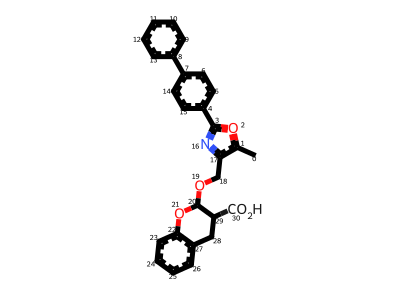 Cc1oc(-c2ccc(-c3ccccc3)cc2)nc1COC1Oc2ccccc2CC1C(=O)O